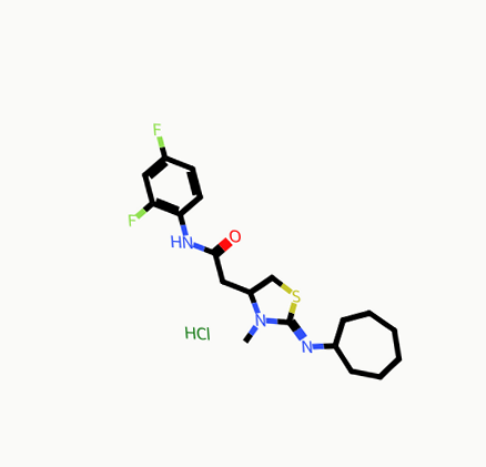 CN1C(=NC2CCCCCC2)SCC1CC(=O)Nc1ccc(F)cc1F.Cl